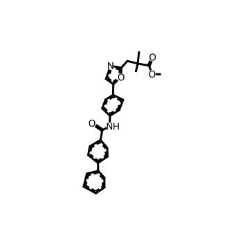 COC(=O)C(C)(C)Cc1ncc(-c2ccc(NC(=O)c3ccc(-c4ccccc4)cc3)cc2)o1